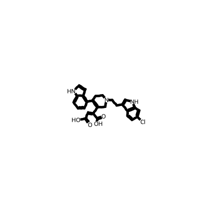 O=C(O)/C=C(\C(=O)O)C1=C(c2cccc3[nH]ccc23)CCN(CCc2c[nH]c3cc(Cl)ccc23)C1